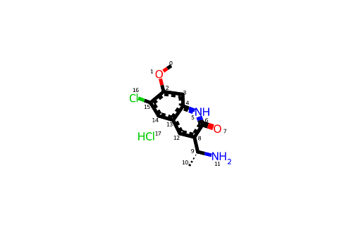 COc1cc2[nH]c(=O)c([C@@H](C)N)cc2cc1Cl.Cl